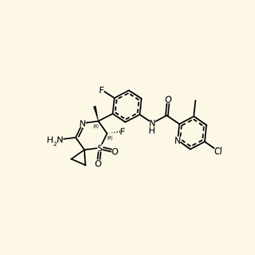 Cc1cc(Cl)cnc1C(=O)Nc1ccc(F)c([C@@]2(C)N=C(N)C3(CC3)S(=O)(=O)[C@H]2F)c1